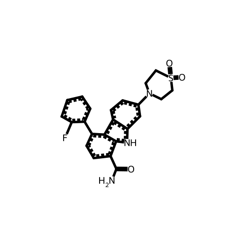 NC(=O)c1ccc(-c2ccccc2F)c2c1[nH]c1cc(N3CCS(=O)(=O)CC3)ccc12